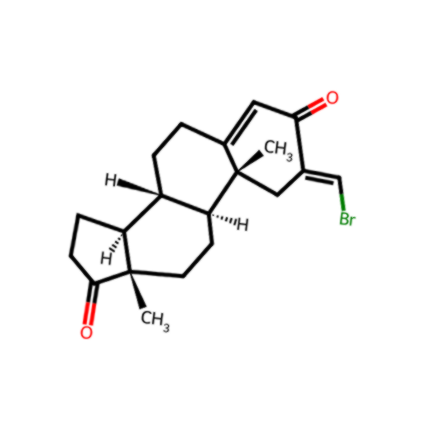 C[C@]12CC(=CBr)C(=O)C=C1CC[C@@H]1[C@@H]2CC[C@]2(C)C(=O)CC[C@@H]12